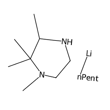 CC1NCCN(C)C1(C)C.[Li][CH2]CCCC